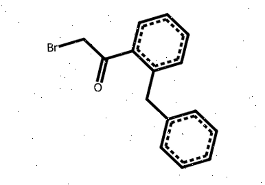 O=C(CBr)c1ccccc1Cc1ccccc1